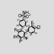 NS(=O)(=O)c1ccc(-c2c(F)c(F)c(F)c(F)c2-c2ccc(Cl)c(F)c2)cc1